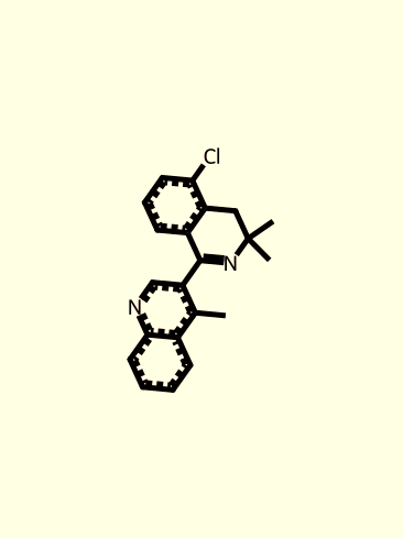 Cc1c(C2=NC(C)(C)Cc3c(Cl)cccc32)cnc2ccccc12